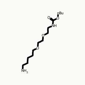 CCCCOC(=O)NCCOCCOCCCCCN